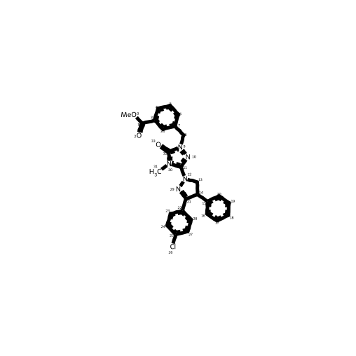 COC(=O)c1cccc(Cn2nc(N3CC(c4ccccc4)C(c4ccc(Cl)cc4)=N3)n(C)c2=O)c1